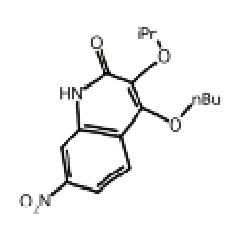 CCCCOc1c(OC(C)C)c(=O)[nH]c2cc([N+](=O)[O-])ccc12